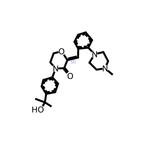 CN1CCN(c2ccccc2/C=C2\OCCN(c3ccc(C(C)(C)O)cc3)C2=O)CC1